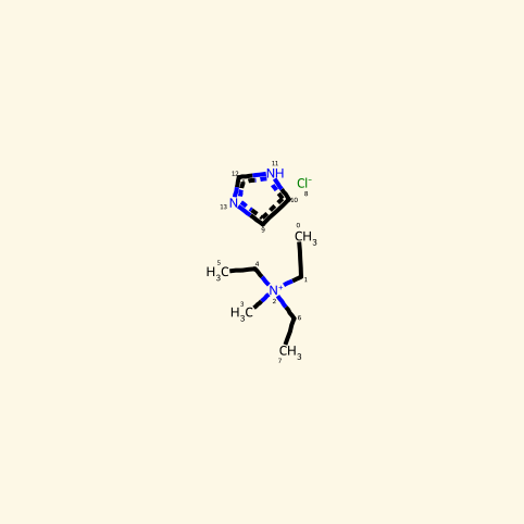 CC[N+](C)(CC)CC.[Cl-].c1c[nH]cn1